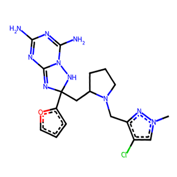 Cn1cc(Cl)c(CN2CCCC2CC2(c3ccco3)N=C3N=C(N)N=C(N)N3N2)n1